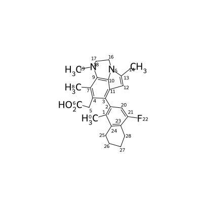 Cc1c(-c2c(CC(=O)O)c(C)c3c4c2cc(C)n4CCN3C)cc(F)c2c1CCCC2